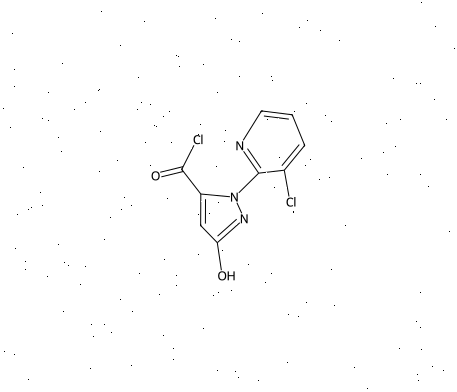 O=C(Cl)c1cc(O)nn1-c1ncccc1Cl